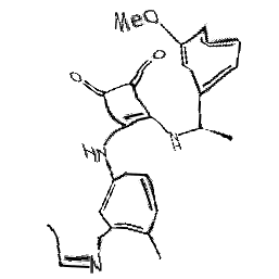 C/C=N\c1cc(Nc2c(N[C@H](C)c3cccc(OC)c3)c(=O)c2=O)ccc1C